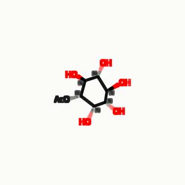 CC(=O)O[C@@H]1[C@@H](O)[C@H](O)[C@@H](O)[C@H](O)[C@@H]1O